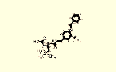 COc1cc(CNC(=O)N[C@H](CC(=O)O)C[N+](C)(C)C)ccc1OCc1ccccc1